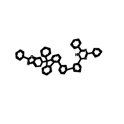 C1=c2nc(-c3ccccc3)oc2=CC(C2(c3ccccc3)c3ccccc3-c3c(-c4cccc(-c5cccc(C6N=C(c7ccccc7)N=C(c7ccccc7)N6)c5)c4)cccc32)C1